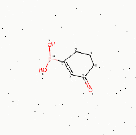 O=C1C=C(B(O)O)CCC1